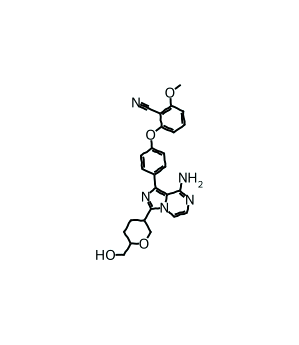 COc1cccc(Oc2ccc(-c3nc(C4CCC(CO)OC4)n4ccnc(N)c34)cc2)c1C#N